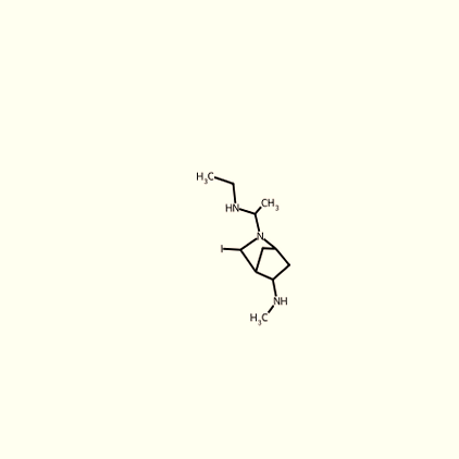 CCNC(C)N1C2CC(NC)C(C2)C1I